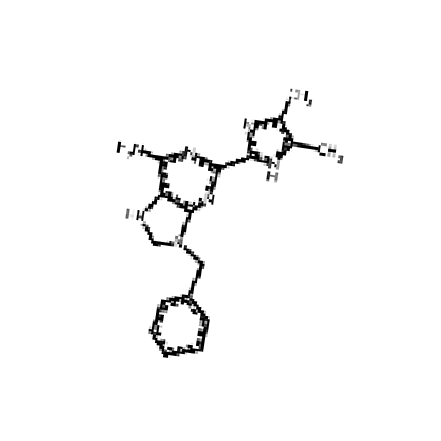 Cc1nc(-c2nc(N)c3c(n2)N(Cc2ccccc2)CN3)[nH]c1C